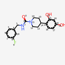 O=C(NCc1cccc(F)c1)N1CCC(c2ccc(O)cc2O)CC1